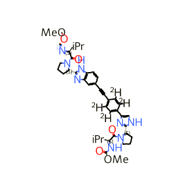 [2H]c1c([2H])c(-c2c[nH]c([C@@H]3CCCN3C(=O)[C@@H](NC(=O)OC)C(C)C)n2)c([2H])c([2H])c1C#Cc1ccc2[nH]c([C@@H]3CCCN3C(=O)[C@@H](/N=C\OOC)C(C)C)nc2c1